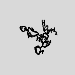 O=C(Nc1c(-c2ccccc2F)ccnc1N1CCC(P)(P)C1)c1cnc(N2CCOCC2)nc1